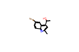 Cc1cc(C(C)O)c2cc(Br)ccc2n1